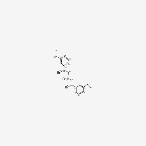 CCc1cccc(C(Br)CC(=O)CC(Br)c2cccc(CC)c2)c1